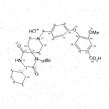 CCCCN1C(=O)[C@H](C2CCCCC2)NC(=O)C12CCN(Cc1ccc(Oc3ccc(C(=O)O)cc3OC)cc1)CC2.Cl